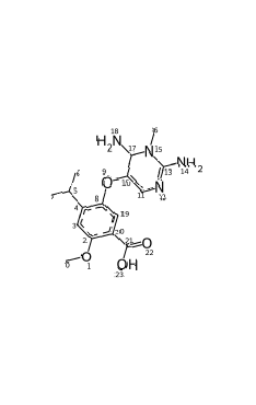 COc1cc(C(C)C)c(OC2=CN=C(N)N(C)C2N)cc1C(=O)O